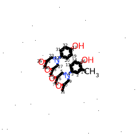 Cc1cc(N(CC2CO2)CC2CO2)ccc1O.Oc1ccc(N(CC2CO2)CC2CO2)cc1